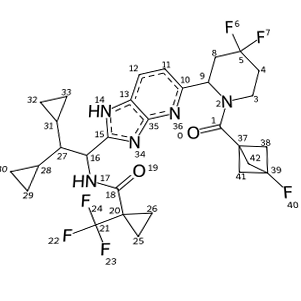 O=C(N1CCC(F)(F)CC1c1ccc2[nH]c(C(NC(=O)C3(C(F)(F)F)CC3)C(C3CC3)C3CC3)nc2n1)C12CC(F)(C1)C2